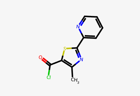 Cc1nc(-c2ccccn2)sc1C(=O)Cl